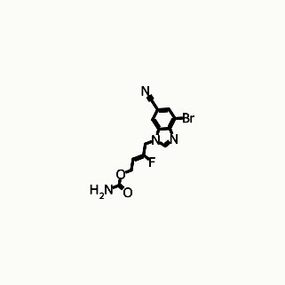 N#Cc1cc(Br)c2ncn(C/C(F)=C/COC(N)=O)c2c1